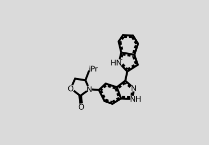 CC(C)C1COC(=O)N1c1ccc2[nH]nc(-c3cc4ccccc4[nH]3)c2c1